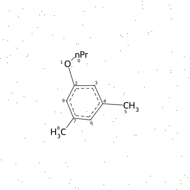 CCCOc1cc(C)cc(C)c1